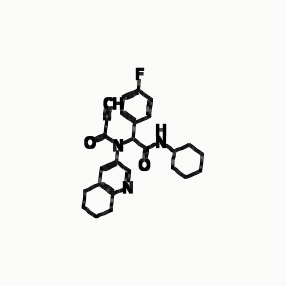 C#CC(=O)N(c1cnc2c(c1)CCCC2)C(C(=O)NC1CCCCC1)c1ccc(F)cc1